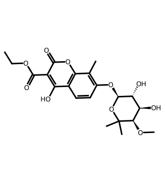 CCOC(=O)c1c(O)c2ccc(O[C@@H]3OC(C)(C)[C@H](OC)[C@H](O)[C@H]3O)c(C)c2oc1=O